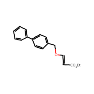 CCOC(=O)/C=C/OCc1ccc(-c2ccccc2)cc1